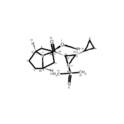 CC(C)O[C@H]1C[C@H]2CC[C@@H](C1)N2C(=O)[C@@H]1[C@H](C2CC2)N1P(C)(C)=O